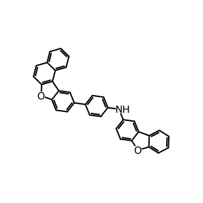 c1ccc2c(c1)ccc1oc3ccc(-c4ccc(Nc5ccc6oc7ccccc7c6c5)cc4)cc3c12